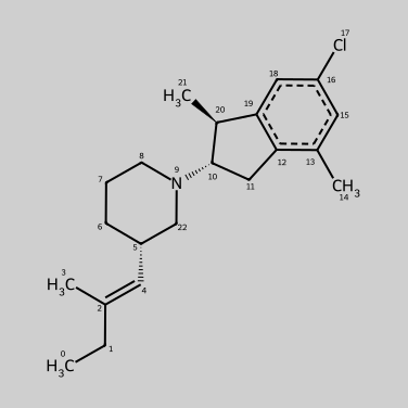 CC/C(C)=C/[C@@H]1CCCN([C@H]2Cc3c(C)cc(Cl)cc3[C@@H]2C)C1